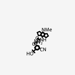 CNc1c2c(c(NC(=O)N=S(N)(=O)c3cc(C#N)cc(C(C)(C)O)c3)c3c1CCC3)CCC2